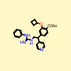 COc1ccc(C(CNC(=N)Nc2ccccc2)c2ccncc2)cc1OC1CCC1